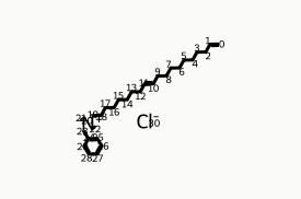 C=CCCCCCCCCC=CCCCCCCCC[N+](C)(C)Cc1ccccc1.[Cl-]